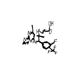 Cc1cc(NC(c2ccc(C(F)(F)F)c(F)c2)C(C)(C)NC(=O)O)n2ncnc2n1